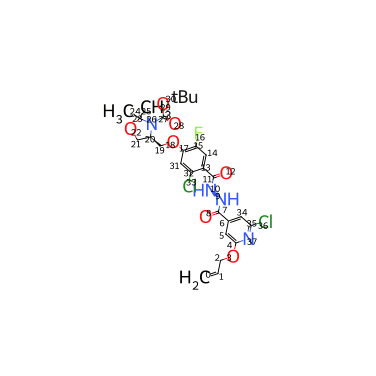 C=CCOc1cc(C(=O)NNC(=O)c2cc(F)c(OC[C@H]3COC(C)(C)N3C(=O)OC(C)(C)C)cc2Cl)cc(Cl)n1